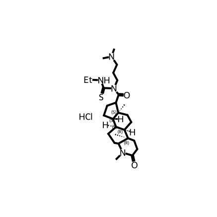 CCNC(=S)N(CCCN(C)C)C(=O)C1CC[C@H]2[C@@H]3CCC4N(C)C(=O)CC[C@]4(C)[C@@H]3CC[C@]12C.Cl